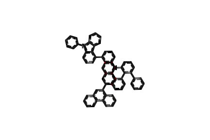 c1ccc(-c2ccccc2-c2c(-c3ccccc3)cccc2N(c2ccc(-c3cc4ccccc4c4ccccc34)cc2)c2cccc(-c3cccc4c3c3ccccc3n4-c3ccccc3)c2)cc1